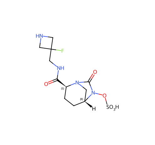 O=C(NCC1(F)CNC1)[C@@H]1CC[C@@H]2CN1C(=O)N2OS(=O)(=O)O